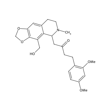 COc1ccc(CCC(=O)CC2c3c(cc4c(c3CO)OCO4)CCN2C)c(OC)c1